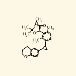 COC(=O)C(OC(C)(C)C)c1c(C)ccc(C2CC2c2ccc3c(c2)CCCO3)c1C